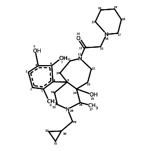 Cc1ccc(O)c(O)c1C12CCN(C(=O)CN3CCCCC3)CCC1(O)C(C)N(CC1CC1)CC2